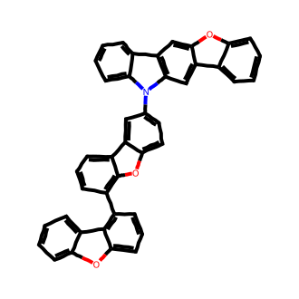 c1ccc2c(c1)oc1cc3c4ccccc4n(-c4ccc5oc6c(-c7cccc8oc9ccccc9c78)cccc6c5c4)c3cc12